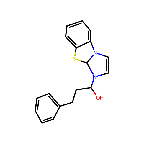 OC(CCc1ccccc1)N1C=CN2c3ccccc3SC21